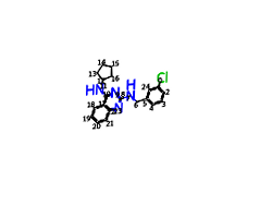 Clc1cccc(CNc2nc(NC3CCCC3)c3ccccc3n2)c1